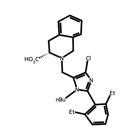 CCCCn1c(-c2c(CC)cccc2CC)nc(Cl)c1CN1Cc2ccccc2C[C@H]1C(=O)O